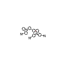 N#Cc1ccc(-n2c3ccccc3c3cc(C#N)ccc32)c(-c2cccc(-c3cccc(-n4c5ccccc5c5c(C#N)cccc54)c3)c2)c1